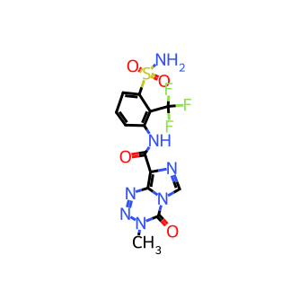 Cn1nnc2c(C(=O)Nc3cccc(S(N)(=O)=O)c3C(F)(F)F)ncn2c1=O